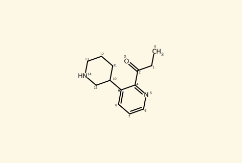 CCC(=O)c1ncccc1C1CCCNC1